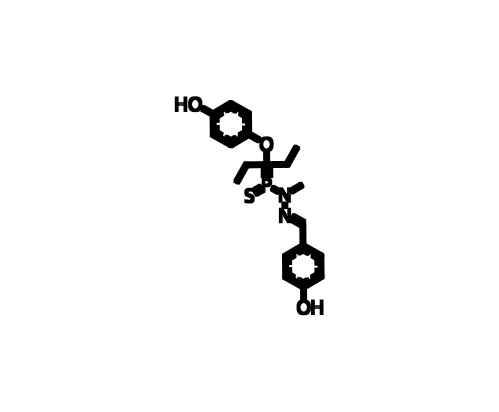 CCC(CC)(Oc1ccc(O)cc1)[PH](=S)N(C)N=Cc1ccc(O)cc1